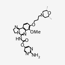 COc1c(OCCCN2C[C@@H](C)O[C@@H](C)C2)ccc2c1N=C(NC(=O)Oc1cnc(N)nc1)N1CCN=C21